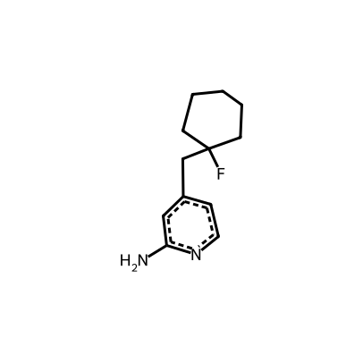 Nc1cc(CC2(F)CCCCC2)ccn1